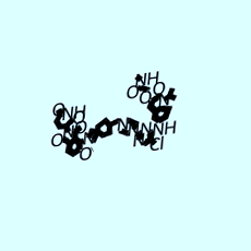 CNC(=O)COc1cc2cc(Nc3nc(N4CCN(CC5CCC6(CC5)CN(c5c(OC)ccc7c5C(=O)N(C5CCC(=O)NC5=O)C7=O)C6)CC4)ncc3Cl)ccc2n(C(C)C)c1=O